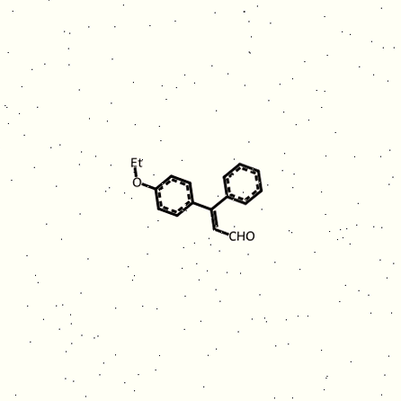 CCOc1ccc(C(=CC=O)c2ccccc2)cc1